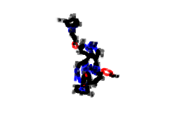 COc1ccc(CN2C3CC2CN(c2cnc(-c4cc(OCCN5CC6CCC5C6)cn5ncc(C#N)c45)cn2)C3)cn1